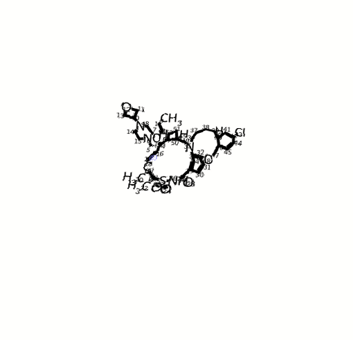 CCCO[C@]1(CN2CCN(C3COC3)CC2)/C=C/C[C@H](C)[C@@H](C)S(=O)(=O)NC(=O)c2ccc3c(c2)N(CCCC[C@H]2C=C(Cl)C=CC2CO3)C[C@@H]2CC[C@H]21